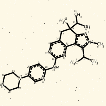 CC(C)c1c2c(nn1C)C(C)(C(C)O)Cc1cnc(Nc3ccc(N4CCNCC4)cn3)nc1-2